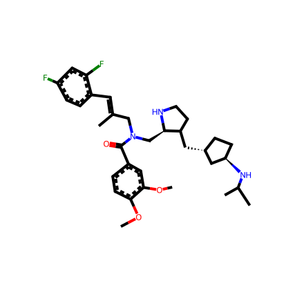 COc1ccc(C(=O)N(C/C(C)=C/c2ccc(F)cc2F)C[C@H]2NCCC2C[C@@H]2CC[C@@H](NC(C)C)C2)cc1OC